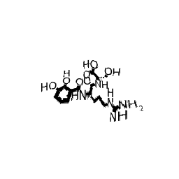 N=C(N)NCCC[C@@H](NC(=O)c1cccc(O)c1O)C(=O)N[C@@H](CO)C(=O)O